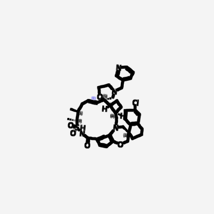 C[C@@H]1[C@@H](C)C/C=C/[C@]2(CN(Cc3cccnc3)CCO2)[C@@H]2CC[C@H]2CN2C[C@@]3(CCCc4cc(Cl)ccc43)COc3ccc(cc32)C(=O)NS1(=O)=O